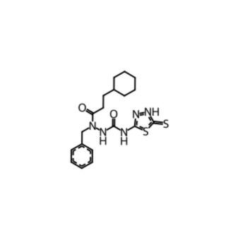 O=C(Nc1n[nH]c(=S)s1)NN(Cc1ccccc1)C(=O)CCC1CCCCC1